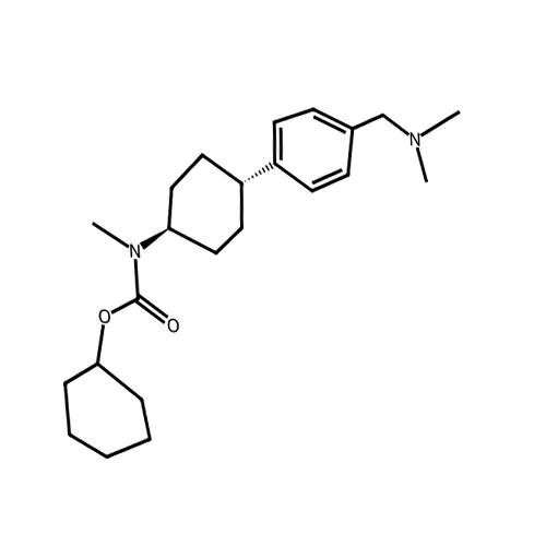 CN(C)Cc1ccc([C@H]2CC[C@H](N(C)C(=O)OC3CCCCC3)CC2)cc1